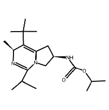 CC(C)OC(=O)N[C@@H]1CC2=C(C(C)(C)C)[C@H](C)N=C(C(C)C)N2C1